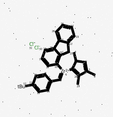 CC1=CC(C)[C](/[Zr+2](=[CH]/c2ccc(C(C)(C)C)cc2)[c]2cccc3c2Cc2ccccc2-3)=C1C.[Cl-].[Cl-]